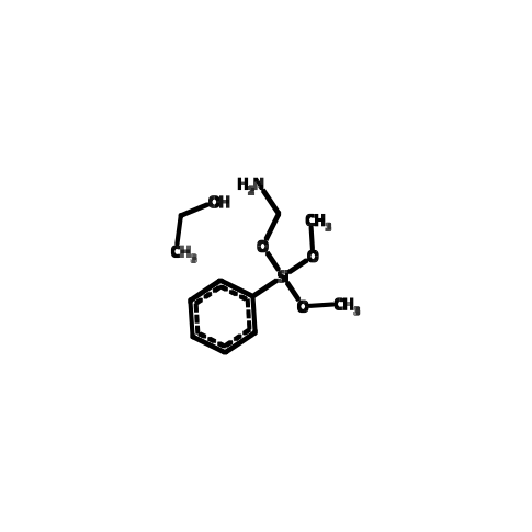 CCO.CO[Si](OC)(OCN)c1ccccc1